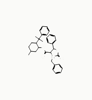 CC1CCC(C(C)(C)c2ccccc2)C(OC(=O)C2C(c3ccccc3)OC(=O)N2Cc2ccccc2)C1